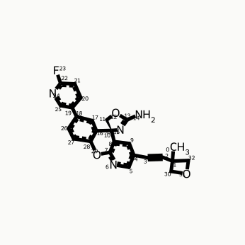 CC1(C#Cc2cnc3c(c2)[C@]2(COC(N)=N2)c2cc(-c4ccc(F)nc4)ccc2O3)COC1